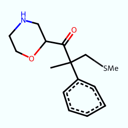 CSCC(C)(C(=O)C1CNCCO1)c1ccccc1